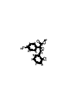 COC(=O)C1(c2ccc(F)cc2)OC1c1ccccc1Cl